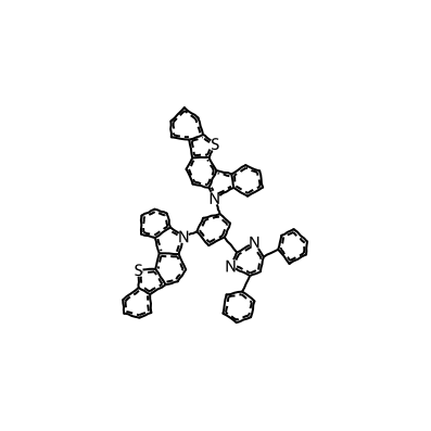 c1ccc(-c2cc(-c3ccccc3)nc(-c3cc(-n4c5ccccc5c5c6sc7ccccc7c6ccc54)cc(-n4c5ccccc5c5c6sc7ccccc7c6ccc54)c3)n2)cc1